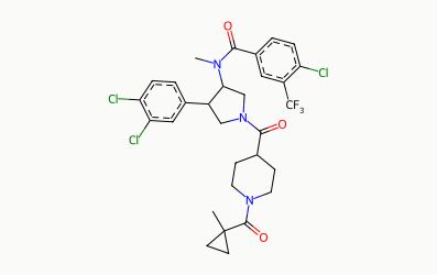 CN(C(=O)c1ccc(Cl)c(C(F)(F)F)c1)C1CN(C(=O)C2CCN(C(=O)C3(C)CC3)CC2)CC1c1ccc(Cl)c(Cl)c1